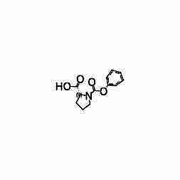 O=C(O)[C@H]1CCCN1C(=O)Oc1ccccc1